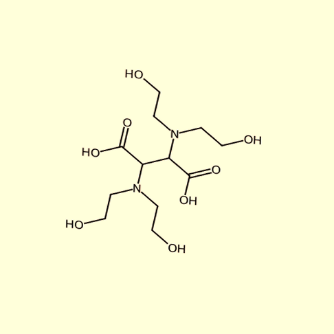 O=C(O)C(C(C(=O)O)N(CCO)CCO)N(CCO)CCO